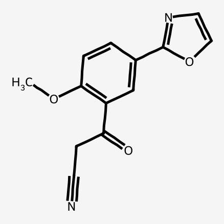 COc1ccc(-c2ncco2)cc1C(=O)CC#N